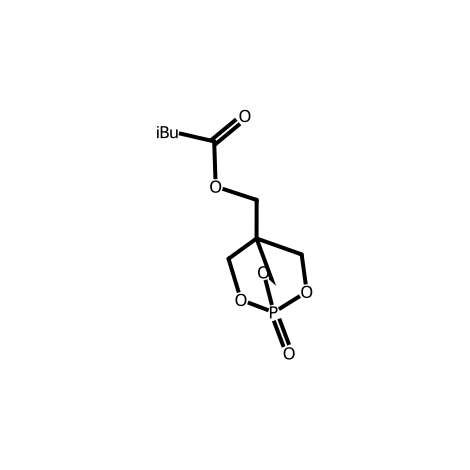 CCC(C)C(=O)OCC12COP(=O)(OC1)OC2